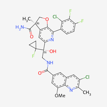 COc1cc(C(=O)NC[C@](O)(c2cc3c(c(-c4ccc(F)c(F)c4Cl)n2)OC[C@]3(C)C(N)=O)C2(F)CC2)cc2cc(Cl)c(C)nc12